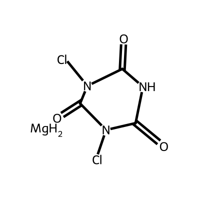 O=c1[nH]c(=O)n(Cl)c(=O)n1Cl.[MgH2]